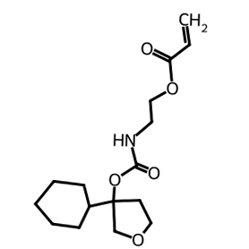 C=CC(=O)OCCNC(=O)OC1(C2CCCCC2)CCOC1